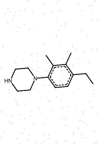 CCc1ccc(N2CCNCC2)c(C)c1C